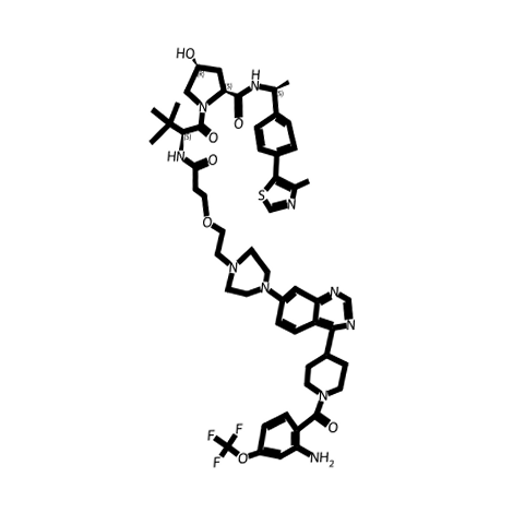 Cc1ncsc1-c1ccc([C@H](C)NC(=O)[C@@H]2C[C@@H](O)CN2C(=O)[C@@H](NC(=O)CCOCCN2CCN(c3ccc4c(C5CCN(C(=O)c6ccc(OC(F)(F)F)cc6N)CC5)ncnc4c3)CC2)C(C)(C)C)cc1